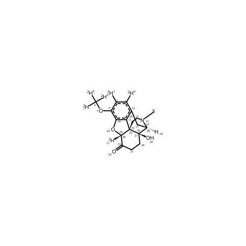 [2H]c1c([2H])c(OC([2H])([2H])[2H])c2c3c1C[C@H]1N(C)CC[C@@]34[C@@]([2H])(O2)C(=O)CC[C@@]14O